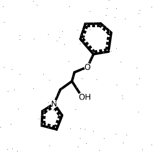 OC(COc1ccccc1)Cn1cccc1